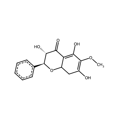 COC1=C(O)CC2O[C@@H](c3ccccc3)[C@H](O)C(=O)C2=C1O